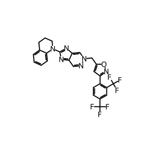 FC(F)(F)c1ccc(-c2cc(Cn3cc4nc(N5CCCc6ccccc65)nc-4cn3)on2)c(C(F)(F)F)c1